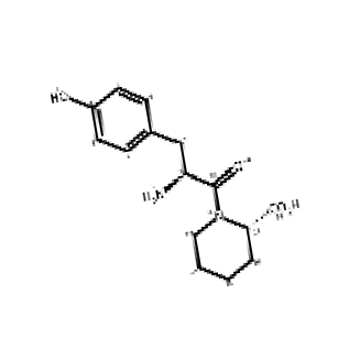 N[C@@H](Cc1ccc(O)cc1)C(=O)N1CCCC[C@H]1C(=O)O